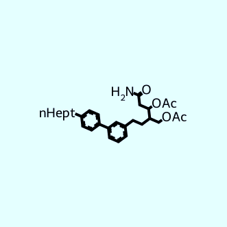 CCCCCCCc1ccc(-c2cccc(CCC(COC(C)=O)C(CC(N)=O)OC(C)=O)c2)cc1